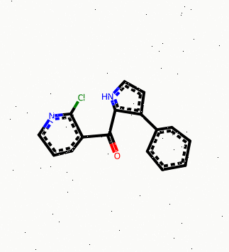 O=C(c1cccnc1Cl)c1[nH]ccc1-c1ccccc1